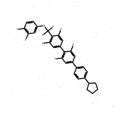 Fc1ccc(OC(F)(F)c2c(F)cc(-c3c(F)cc(-c4ccc(C5CCCC5)cc4)cc3F)cc2F)cc1F